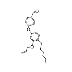 C=CCOc1cc(Oc2ccc(C=O)cc2)ccc1CCCCCC